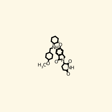 COC1CCC(CN[C@H]2CCCC[C@@H]2Oc2ccc3c(c2)CN(C2CCC(=O)NC2=O)C3=O)CC1